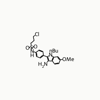 CCCCn1c(-c2ccc(NS(=O)(=O)CCCCl)cc2)c(N)c2ccc(OC)cc21